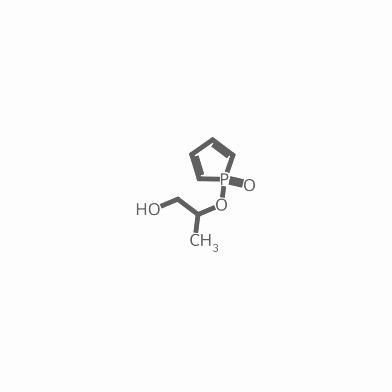 CC(CO)OP1(=O)C=CC=C1